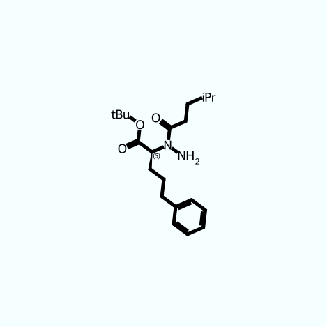 CC(C)CCC(=O)N(N)[C@@H](CCCc1ccccc1)C(=O)OC(C)(C)C